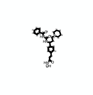 O=C(C=Cc1ccc(C(CCN2CCCCC2)NC(=O)NC(=O)c2ccccc2)cc1)NO